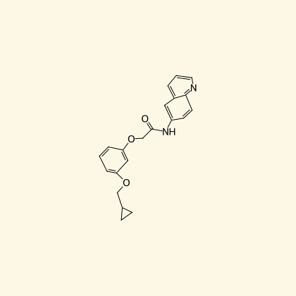 O=C(COc1cccc(OCC2CC2)c1)Nc1ccc2ncccc2c1